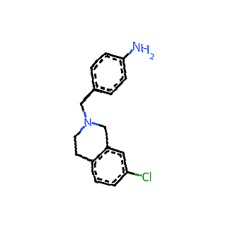 Nc1ccc(CN2CCc3ccc(Cl)cc3C2)cc1